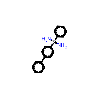 N[Si](N)(c1ccccc1)c1ccc(-c2ccccc2)cc1